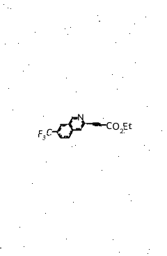 CCOC(=O)C#Cc1cc2ccc(C(F)(F)F)cc2cn1